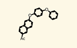 CC(=O)c1ccc2cc(Oc3ccc(Oc4ccccc4)cc3)ccc2c1